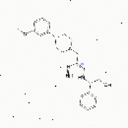 COc1cccc(C2CCN(C/C(=C/NC(CO)c3ccccc3)N=N)CC2)c1